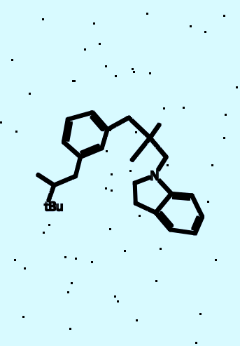 CC(Cc1cccc(CC(C)(C)CN2CCc3ccccc32)c1)C(C)(C)C